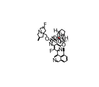 C#Cc1cccc2cncc(-c3nc4c5c(nc(OCC67CC(=C)CN6C[C@H](F)C7)nc5c3F)N3C[C@H]5CC[C@@H]([C@H]3[C@H](C)O4)N5C(=O)OC(C)(C)C)c12